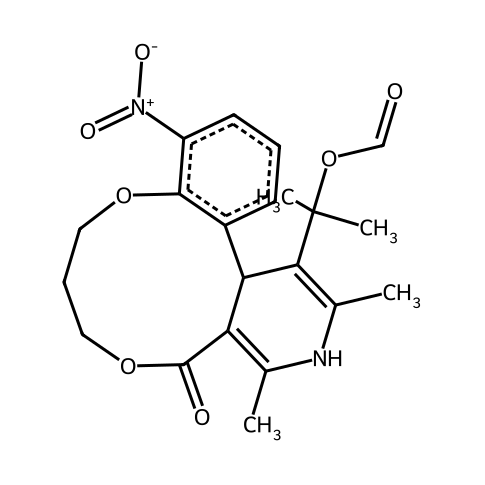 CC1=C2C(=O)OCCCOc3c(cccc3[N+](=O)[O-])C2C(C(C)(C)OC=O)=C(C)N1